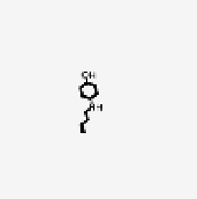 C=CCCN[C@H]1CC[C@@H](O)CC1